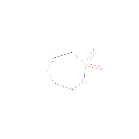 O=S1(=O)CCSCCN1